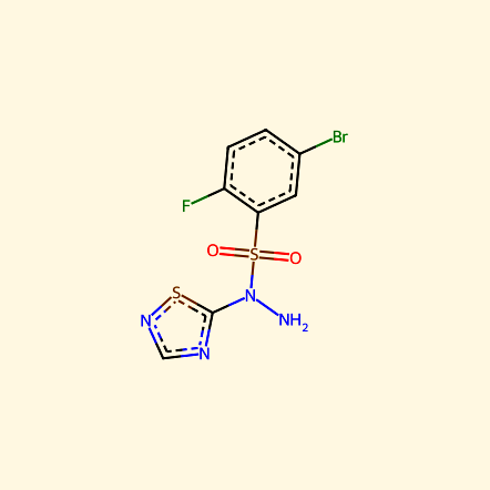 NN(c1ncns1)S(=O)(=O)c1cc(Br)ccc1F